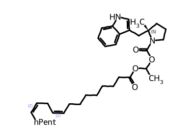 CCCCC/C=C\C/C=C\CCCCCCCC(=O)OC(C)OC(=O)N1CCC[C@@]1(C)Cc1c[nH]c2ccccc12